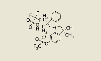 CC1(C)CC2(CC(C)(C)c3ccc(OS(=O)(=O)C(F)(F)F)cc32)c2ccccc21.O=S(=O)(O)C(F)(F)F